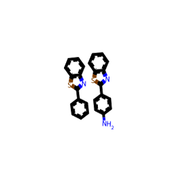 Nc1ccc(-c2nc3ccccc3s2)cc1.c1ccc(-c2nc3ccccc3s2)cc1